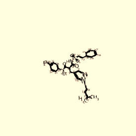 CCN(C(=O)C(Cc1cnn(CC=C(C)C)c1)C(=O)NS(=O)(=O)C=Cc1ccccc1)c1ccc(F)cc1